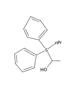 CCCS(c1ccccc1)(c1ccccc1)C(C)O